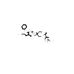 Cn1cc(C(=O)N2CCC(O)(Cn3cnc4c(cc(Cl)n4-c4ccccc4)c3=O)CC2)cn1